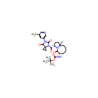 Cc1cncc(N2C(=O)N(C(=O)[C@@H]3CC[C@@H]4CCCC[C@H](NC(=O)OC(C)(C)C)C(=O)N43)C3(CC3)C2=O)c1